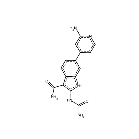 NC(=O)Nc1[nH]c2cc(-c3ccnc(N)c3)ccc2c1C(N)=O